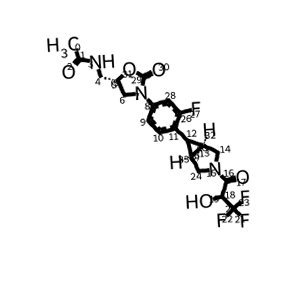 CC(=O)NC[C@H]1CN(c2ccc(C3[C@H]4CN(C(=O)C(O)C(F)(F)F)C[C@@H]34)c(F)c2)C(=O)O1